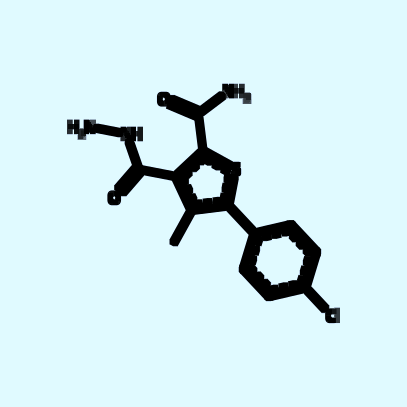 Cc1c(-c2ccc(Cl)cc2)sc(C(N)=O)c1C(=O)NN